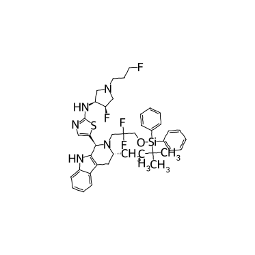 C[C@@H]1Cc2c([nH]c3ccccc23)[C@@H](c2cnc(N[C@H]3CN(CCCF)C[C@H]3F)s2)N1CC(F)(F)CO[Si](c1ccccc1)(c1ccccc1)C(C)(C)C